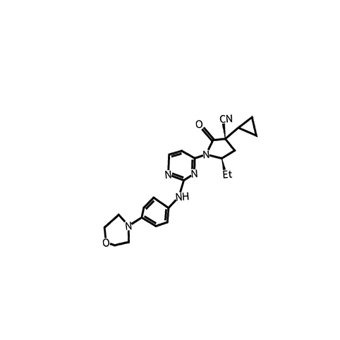 CC[C@@H]1C[C@@](C#N)(C2CC2)C(=O)N1c1ccnc(Nc2ccc(N3CCOCC3)cc2)n1